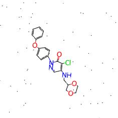 O=c1c(Cl)c(NCC2COCCO2)cnn1-c1ccc(Oc2ccccc2)cc1